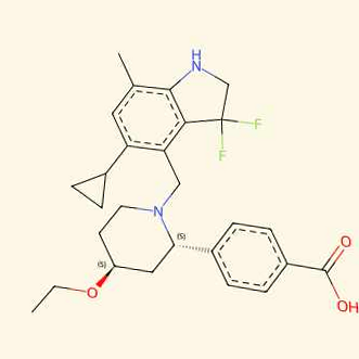 CCO[C@H]1CCN(Cc2c(C3CC3)cc(C)c3c2C(F)(F)CN3)[C@H](c2ccc(C(=O)O)cc2)C1